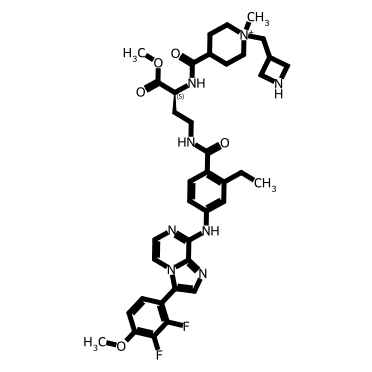 CCc1cc(Nc2nccn3c(-c4ccc(OC)c(F)c4F)cnc23)ccc1C(=O)NCC[C@H](NC(=O)C1CC[N+](C)(CC2CNC2)CC1)C(=O)OC